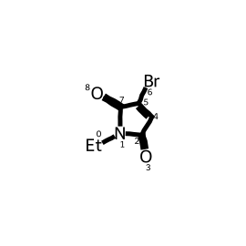 CCN1C(=O)C=C(Br)C1=O